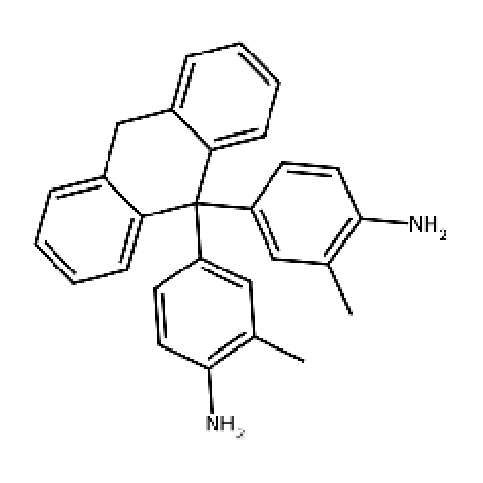 Cc1cc(C2(c3ccc(N)c(C)c3)c3ccccc3Cc3ccccc32)ccc1N